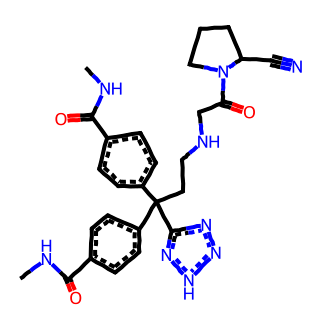 CNC(=O)c1ccc(C(CCNCC(=O)N2CCCC2C#N)(c2ccc(C(=O)NC)cc2)c2nn[nH]n2)cc1